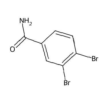 NC(=O)c1ccc(Br)c(Br)c1